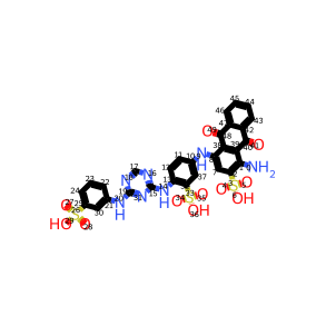 Nc1c(S(=O)(=O)O)cc(Nc2ccc(Nc3ncnc(Nc4cccc(S(=O)(=O)O)c4)n3)c(S(=O)(=O)O)c2)c2c1C(=O)c1ccccc1C2=O